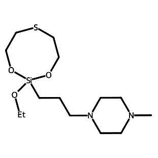 CCO[Si]1(CCCN2CCN(C)CC2)OCCSCCO1